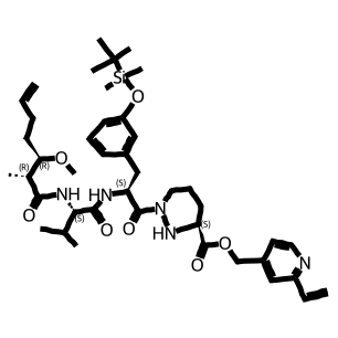 C=CCC[C@@H](OC)[C@@H](C)C(=O)N[C@H](C(=O)N[C@@H](Cc1cccc(O[Si](C)(C)C(C)(C)C)c1)C(=O)N1CCC[C@@H](C(=O)OCc2ccnc(C=C)c2)N1)C(C)C